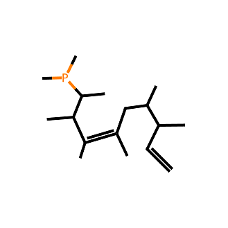 C=CC(C)C(C)C/C(C)=C(/C)C(C)C(C)P(C)C